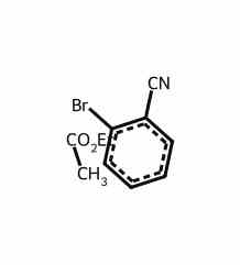 CCOC(C)=O.N#Cc1ccccc1Br